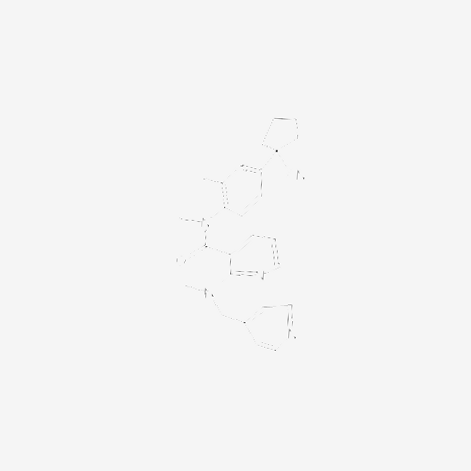 CN(Cc1ccncc1)c1ncccc1C(=O)N(C)c1ccc(C2(C#N)CCCC2)cc1I